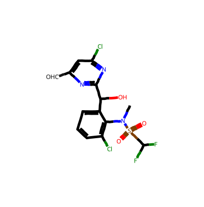 CN(c1c(Cl)cccc1C(O)c1nc(Cl)cc(C=O)n1)S(=O)(=O)C(F)F